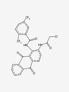 O=C(CCl)Nc1ccc2c(c1NC(=O)c1cc(C(F)(F)F)ccc1C(F)(F)F)C(=O)c1ccccc1C2=O